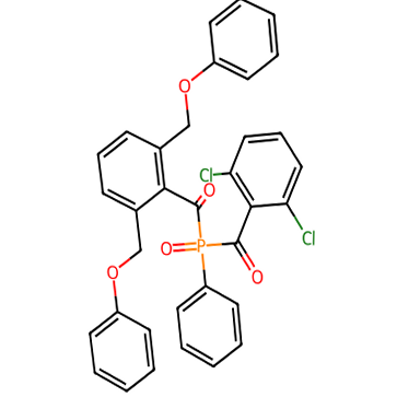 O=C(c1c(Cl)cccc1Cl)P(=O)(C(=O)c1c(COc2ccccc2)cccc1COc1ccccc1)c1ccccc1